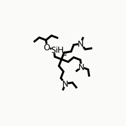 CCC(CC)O[SiH2]CC(CCCN(C)CC)(CCCN(C)CC)CCCN(C)CC